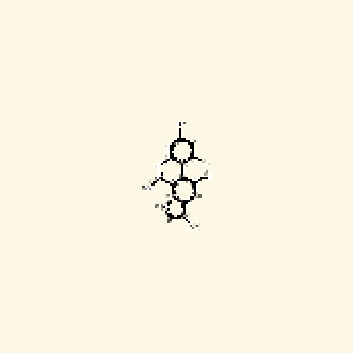 CCC(C)Nc1c(-c2c(F)cc(F)cc2F)c(Cl)nc2c(C#N)cnn12